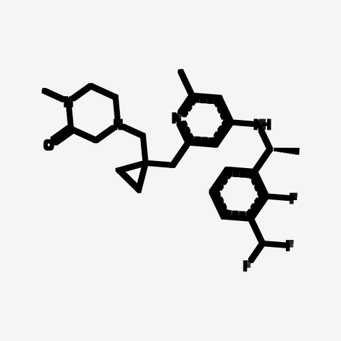 Cc1cc(N[C@H](C)c2cccc(C(F)F)c2F)cc(CC2(CN3CCN(C)C(=O)C3)CC2)n1